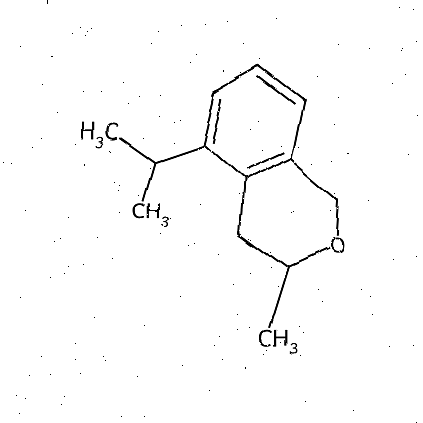 CC1Cc2c(cccc2C(C)C)CO1